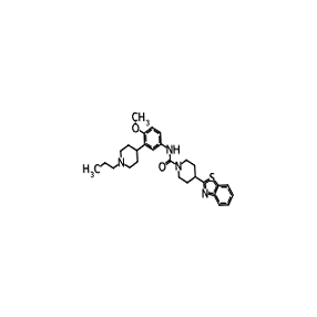 CCCN1CCC(c2cc(NC(=O)N3CCC(c4nc5ccccc5s4)CC3)ccc2OC)CC1